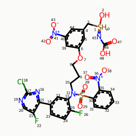 C[SH](O)(Cc1cc(OCCCN(c2cc(-c3nc(Cl)ncc3F)ccc2F)S(=O)(=O)c2ccccc2[N+](=O)[O-])cc([N+](=O)[O-])c1)=NC(=O)O